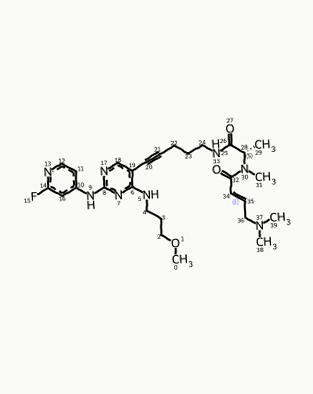 COCCCNc1nc(Nc2ccnc(F)c2)ncc1C#CCCCNC(=O)[C@H](C)N(C)C(=O)/C=C/CN(C)C